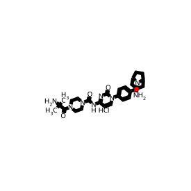 CC(C)(N)C(=O)N1CCN(C(=O)Nc2ccn(-c3ccc(CN4C5CCC4CC(N)C5)cc3)c(=O)n2)CC1.Cl